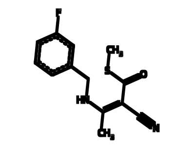 CSC(=O)C(C#N)=C(C)NCc1cccc(F)c1